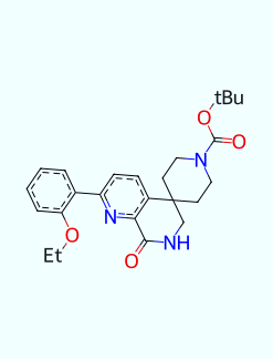 CCOc1ccccc1-c1ccc2c(n1)C(=O)NCC21CCN(C(=O)OC(C)(C)C)CC1